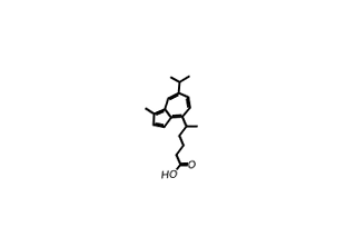 Cc1ccc2c(C(C)CCCC(=O)O)ccc(C(C)C)cc1-2